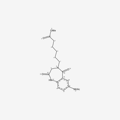 COC(=O)CCCCCN1CC(=O)Nc2ccc(NC(C)=O)cc2C1=O